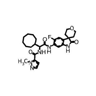 Cn1nccc1C(=O)NC(C(=O)Nc1cc2c(cc1F)C1(CCOCC1)C(=O)N2)C1CCCCCCC1